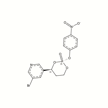 O=[N+]([O-])c1ccc(O[P@]2(=O)OCC[C@@H](c3cncc(Br)c3)O2)cc1